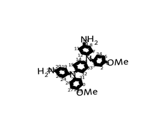 COc1ccc(N(c2ccc(N)cc2)c2ccc(N(c3ccc(N)cc3)c3ccc(OC)cc3)cc2)cc1